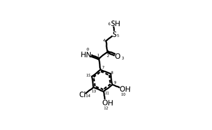 N=C(C(=O)CSS)c1cc(O)c(O)c(Cl)c1